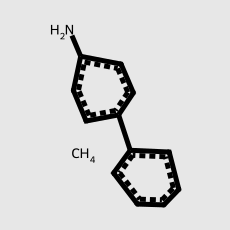 C.Nc1ccc(-c2ccccc2)cc1